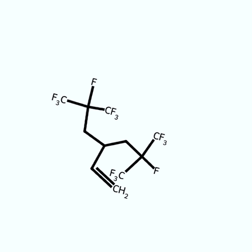 C=CC(CC(F)(C(F)(F)F)C(F)(F)F)CC(F)(C(F)(F)F)C(F)(F)F